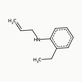 C=CCNc1ccccc1CC